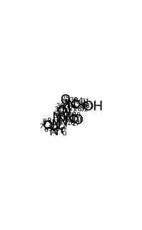 CC(C)c1nc2ccccc2n1-c1nc(N2CCOCC2)c2nc(C(=O)N3CCC(C(C)(C)O)CC3)ccc2n1